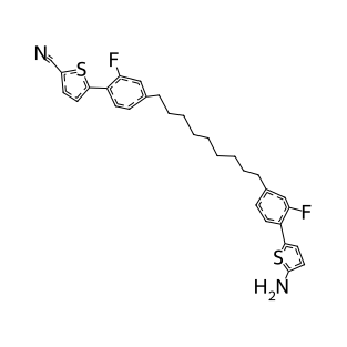 N#Cc1ccc(-c2ccc(CCCCCCCCCc3ccc(-c4ccc(N)s4)c(F)c3)cc2F)s1